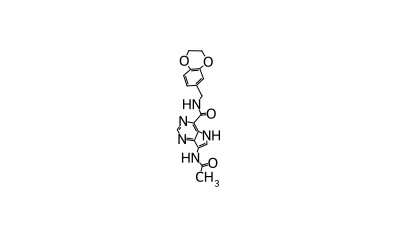 CC(=O)Nc1c[nH]c2c(C(=O)NCc3ccc4c(c3)OCCO4)ncnc12